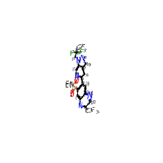 CCS(=O)(=O)c1cc2nc(C(F)(F)F)cnc2cc1-c1cc2cnn(CC(F)(F)C(F)(F)F)c2cn1